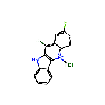 C[n+]1c2ccc(F)cc2c(Cl)c2[nH]c3ccccc3c21.Cl